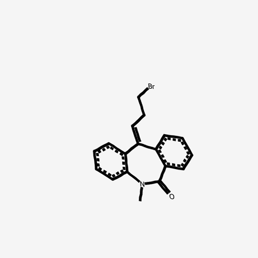 CN1C(=O)c2ccccc2C(=CCCBr)c2ccccc21